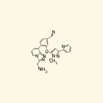 Cn1nc(-c2ccccn2)cc1Oc1cc(C#N)ccc1-c1cccn2c(CN)nnc12